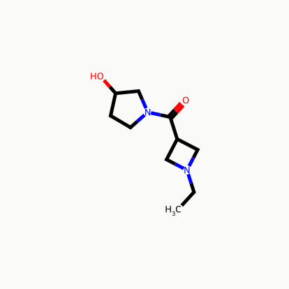 CCN1CC(C(=O)N2CCC(O)C2)C1